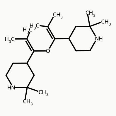 CC(C)=C(OC(=C(C)C)C1CCNC(C)(C)C1)C1CCNC(C)(C)C1